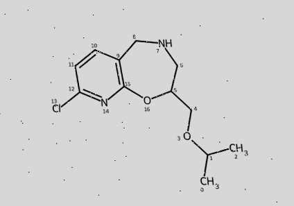 CC(C)OCC1CNCc2ccc(Cl)nc2O1